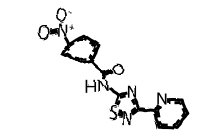 O=C(Nc1nc(-c2ccccn2)ns1)c1ccc([N+](=O)[O-])cc1